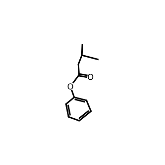 CC(C)CC(=O)Oc1ccccc1